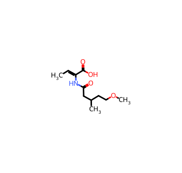 C/C=C(\NC(=O)CC(C)CCOC)C(=O)O